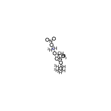 [2H]/C(=C(/[2H])c1ccc2c(c1)C(C)(C)c1c-2ccc2c3cc(-c4c([2H])c([2H])c([2H])c([2H])c4[2H])ccc3n(-c3ccccc3)c12)c1ccc(N(c2ccccc2)c2ccccc2)cc1